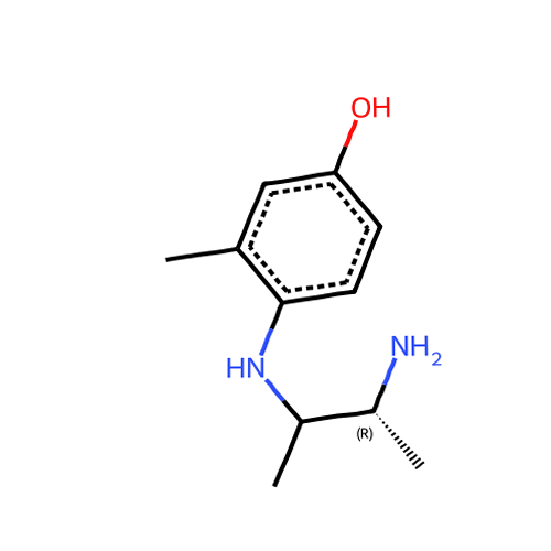 Cc1cc(O)ccc1NC(C)[C@@H](C)N